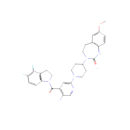 COc1ccc2c(c1)CCN(C1CCN(c3cc(C(=O)N4CCc5c4ccc(F)c5F)c(N)cn3)CC1)C(=O)N2